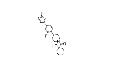 O=C(N1CCC(c2ccc(-c3cn[nH]c3)cc2F)CC1)C1(O)CCCCC1